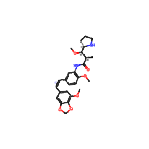 COc1ccc(/C=C\c2cc(OC)c3c(c2)OCO3)cc1NC(=O)[C@H](C)[C@@H](OC)[C@@H]1CCCN1